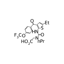 CCCN(CC(=O)O)C(=O)Nc1sc(CC)cc1C(=O)c1ccc(OC(F)(F)F)cc1